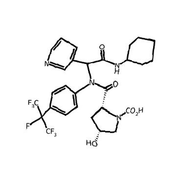 O=C(NC1CCCCC1)C(c1cccnc1)N(C(=O)[C@H]1C[C@@H](O)CN1C(=O)O)c1ccc(C(F)(C(F)(F)F)C(F)(F)F)cc1